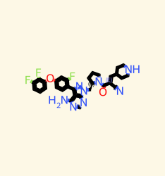 N#C/C(=C\C1CCNCC1)C(=O)N1CCC[C@@H]1Cn1nc(-c2ccc(Oc3cccc(F)c3F)cc2F)c2c(N)ncnc21